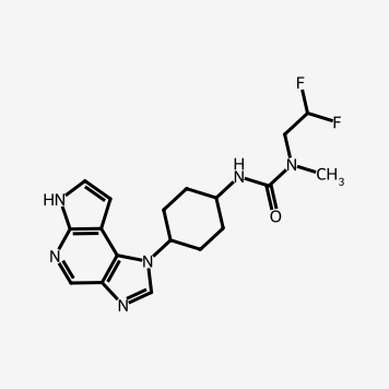 CN(CC(F)F)C(=O)NC1CCC(n2cnc3cnc4[nH]ccc4c32)CC1